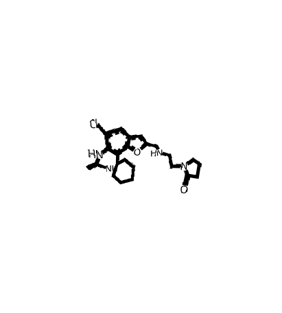 C=C1Nc2c(Cl)cc3cc(CNCCN4CCCC4=O)oc3c2C2(CCCCC2)N1